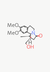 COc1cc2c(cc1OC)[C@@]13C[C@H](C)[C@@H](CO)[C@@H]1CC(=O)N3CC2